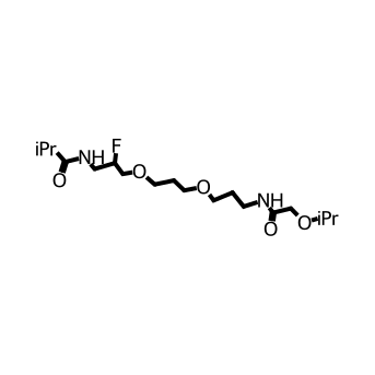 CC(C)OCC(=O)NCCCOCCCOCC(F)CNC(=O)C(C)C